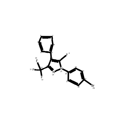 Fc1c(-c2ccccc2)c(C(F)(F)F)nn1-c1ccc(Br)cc1